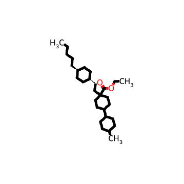 CCCCC[C@H]1CC[C@H](CCC2(C(=O)OCC)CCC(C3CCC(C)CC3)CC2)CC1